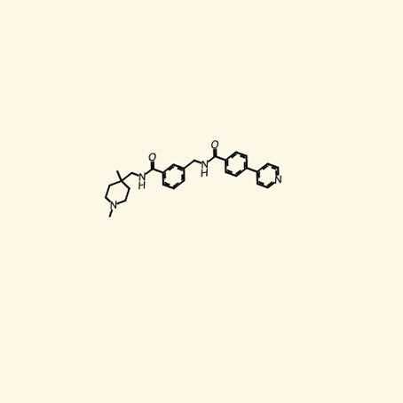 CN1CCC(C)(CNC(=O)c2cccc(CNC(=O)c3ccc(-c4ccncc4)cc3)c2)CC1